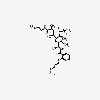 CCCCNC(=O)C(C)CC(O)C(CC(C(C)C)C(N)NC(=O)c1ccccc1OCCCOC)C(=O)OC(C)(C)C